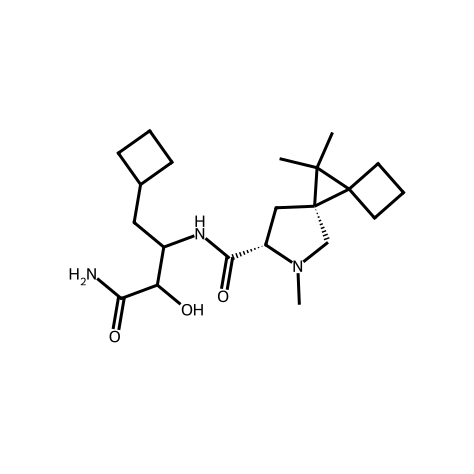 CN1C[C@]2(C[C@H]1C(=O)NC(CC1CCC1)C(O)C(N)=O)C(C)(C)C21CCC1